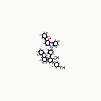 N#Cc1ccc(-c2cccc(-c3ccc(-n4c5ccccc5c5c6oc7ccccc7c6ccc54)cc3-n3c4ccccc4c4ccccc43)c2C#N)cc1